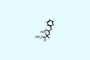 CC(C)(CC(CO)Cc1ccccn1)NC(=O)O